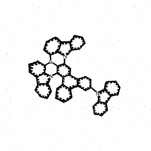 c1ccc2c(c1)c1cc(-n3c4ccccc4c4ccccc43)ccc1c1cc3c4c(c21)-n1c2ccccc2c2cccc(c21)B4c1cccc2c4ccccc4n-3c12